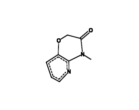 CN1C(=O)COc2cccnc21